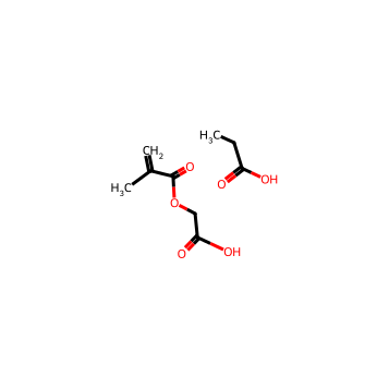 C=C(C)C(=O)OCC(=O)O.CCC(=O)O